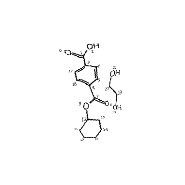 O=C(O)c1ccc(C(=O)OC2CCCCC2)cc1.OCCO